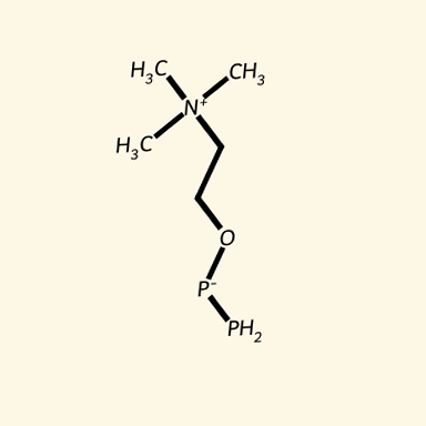 C[N+](C)(C)CCO[P-]P